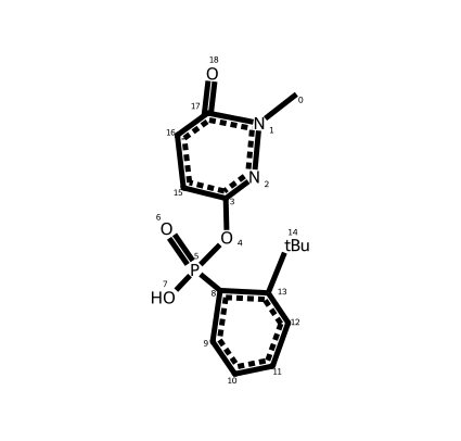 Cn1nc(OP(=O)(O)c2ccccc2C(C)(C)C)ccc1=O